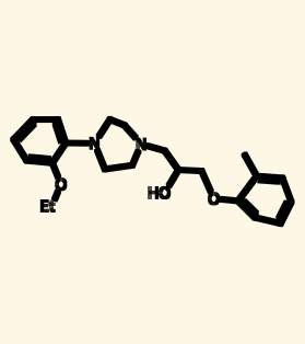 CCOc1ccccc1N1CCN(CC(O)COc2ccccc2C)CC1